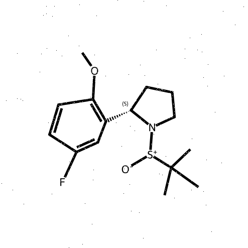 COc1ccc(F)cc1[C@@H]1CCCN1[S+]([O-])C(C)(C)C